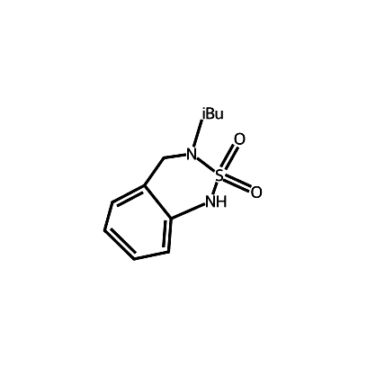 CCC(C)N1Cc2ccccc2NS1(=O)=O